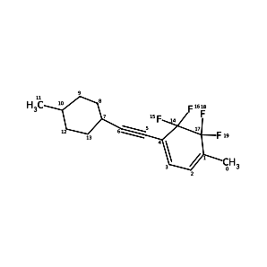 CC1=CC=C(C#CC2CCC(C)CC2)C(F)(F)C1(F)F